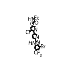 CCNC(=O)Oc1cnc(-c2ccc(-c3nc4c(Br)cc(C(F)(F)F)cc4[nH]3)nc2)c(Cl)c1